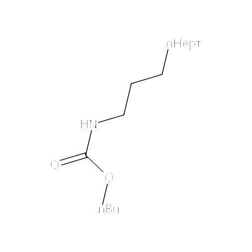 CCCCCCCCCCNC(=O)OCCCC